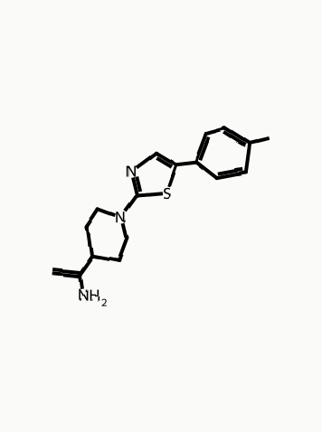 C=C(N)C1CCN(c2ncc(-c3ccc(C)cc3)s2)CC1